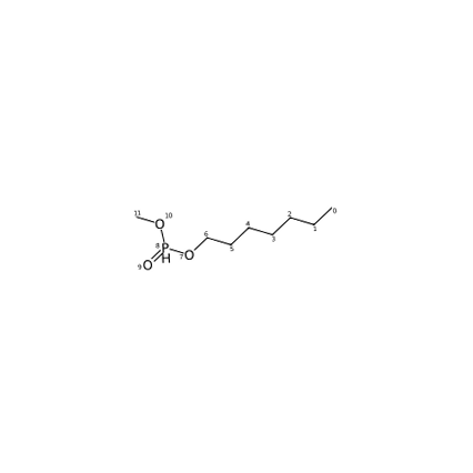 CCCCCCCO[PH](=O)OC